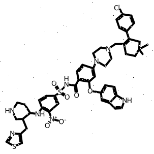 CC1(C)CCC(CN2CCN(c3ccc(C(=O)NS(=O)(=O)c4ccc(NC5CCNCC5Cc5cscn5)c([N+](=O)[O-])c4)c(Oc4ccc5[nH]ccc5c4)c3)CC2)=C(c2ccc(Cl)cc2)C1